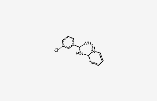 NC(NC1N=CC=CN1)c1cccc(Cl)c1